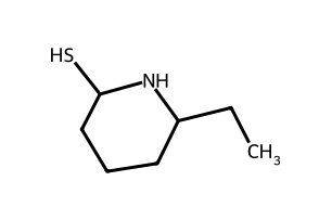 CCC1CCCC(S)N1